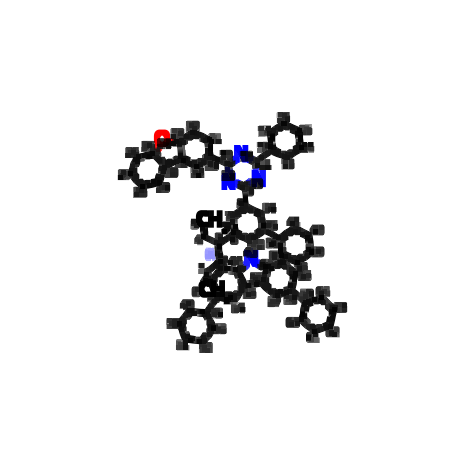 C=C/C=C(\C=C)c1cc(-c2nc(-c3ccccc3)nc(-c3ccc4oc5ccccc5c4c3)n2)cc(-c2ccccc2)c1-n1c2ccc(-c3ccccc3)cc2c2cc(-c3ccccc3)ccc21